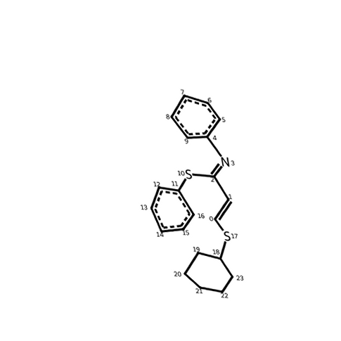 C(=CC(=Nc1ccccc1)Sc1ccccc1)SC1CCCCC1